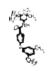 Cc1cc(C)cc(Oc2ccc(C(=O)NC3CC(C)(C)NC(C)(C)C3)cc2)c1